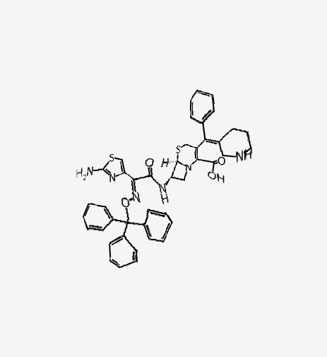 Nc1nc(C(=NOC(c2ccccc2)(c2ccccc2)c2ccccc2)C(=O)N[C@@H]2CN3C(C(=O)O)=C(C(=C4CCCNC4)c4ccccc4)CS[C@H]23)cs1